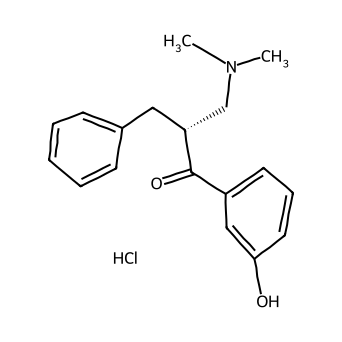 CN(C)C[C@@H](Cc1ccccc1)C(=O)c1cccc(O)c1.Cl